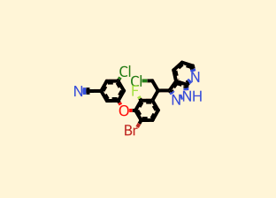 N#Cc1cc(Cl)cc(Oc2c(Br)ccc(C(CCl)c3n[nH]c4ncccc34)c2F)c1